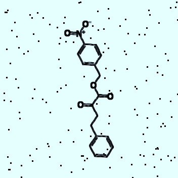 O=C(CCc1ccccc1)C(=O)OCc1ccc([N+](=O)[O-])cc1